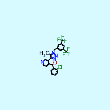 Cc1c(-c2cnccc2C(=O)c2ccccc2Cl)nnn1Cc1cc(C(F)(F)F)cc(C(F)(F)F)c1